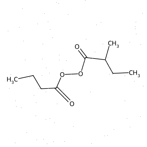 CCCC(=O)OOC(=O)C(C)CC